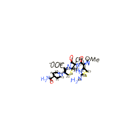 CO/N=C(\C(=O)N[C@]1(C)C(=O)N2C(C(=O)[O-])=C([n+]3ccc(C(N)=O)cc3)CS[C@H]21)c1csc(N)n1